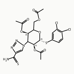 CC(=O)OCC1O[C@H](Sc2ccc(Cl)c(Cl)c2)[C@@H](OC(C)=O)C(n2cc(C(N)=S)nn2)[C@H]1OC(C)=O